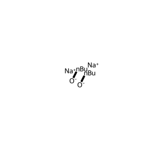 CCCC[O-].CCCC[O-].[Na+].[Na+]